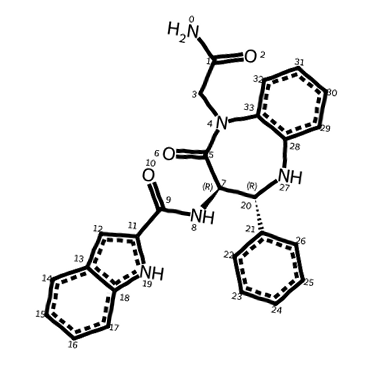 NC(=O)CN1C(=O)[C@H](NC(=O)c2cc3ccccc3[nH]2)[C@@H](c2ccccc2)Nc2ccccc21